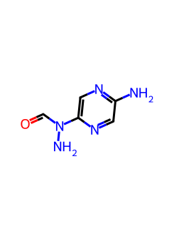 Nc1cnc(N(N)C=O)cn1